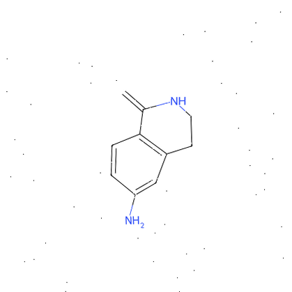 C=C1NCCc2cc(N)ccc21